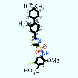 COc1cc(C(=O)O)c(F)cc1NS(=O)(=O)c1csc(-c2ccc(C3CCC(C)(C)CC3)c(C)c2)n1